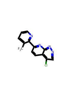 FC(F)(F)c1cccnc1-c1ccc2c(Cl)cnnc2n1